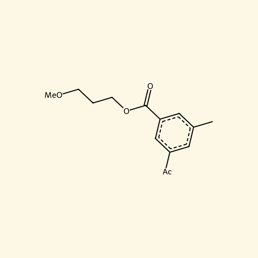 COCCCOC(=O)c1cc(C)cc(C(C)=O)c1